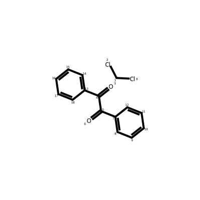 ClCCl.O=C(C(=O)c1ccccc1)c1ccccc1